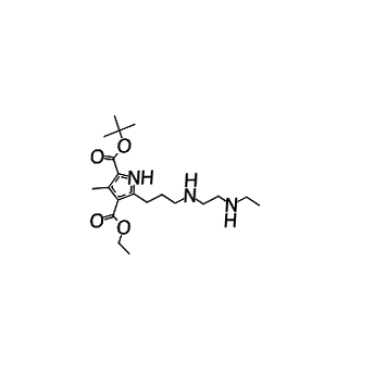 CCNCCNCCCc1[nH]c(C(=O)OC(C)(C)C)c(C)c1C(=O)OCC